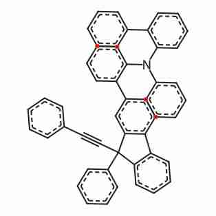 C(#CC1(c2ccccc2)c2ccccc2-c2ccc(-c3ccccc3N(c3ccccc3)c3ccccc3-c3ccccc3)cc21)c1ccccc1